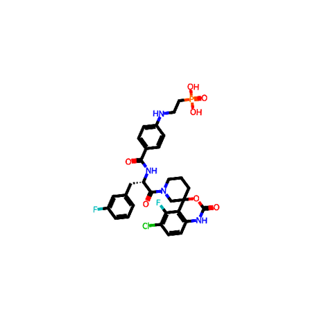 O=C1Nc2ccc(Cl)c(F)c2C2(CCCN(C(=O)[C@H](Cc3cccc(F)c3)NC(=O)c3ccc(NCCP(=O)(O)O)cc3)C2)O1